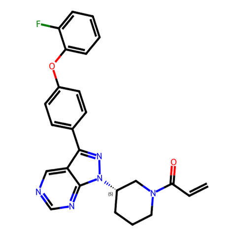 C=CC(=O)N1CCC[C@H](n2nc(-c3ccc(Oc4ccccc4F)cc3)c3cncnc32)C1